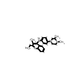 Cc1c(CO)nc2ccccc2c1Nc1ccc(N2CCN(C)C(C)C2)cc1